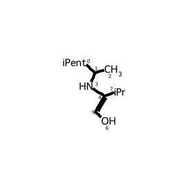 CCCC(C)C(C)N/C(=C/O)C(C)C